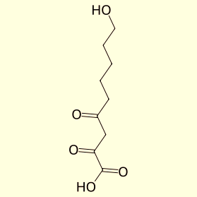 O=C(CCCCCO)CC(=O)C(=O)O